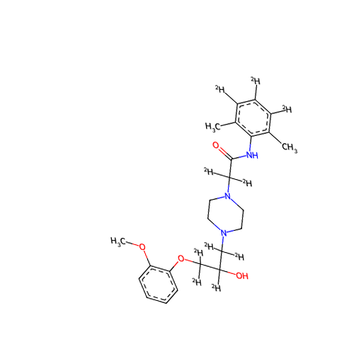 [2H]c1c([2H])c(C)c(NC(=O)C([2H])([2H])N2CCN(C([2H])([2H])C([2H])(O)C([2H])([2H])Oc3ccccc3OC)CC2)c(C)c1[2H]